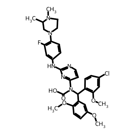 COc1ccc(OC)c(C(c2ccc(Cl)cc2OC)N(C(=O)O)c2ccnc(Nc3ccc(N4CCN(C)C(C)C4)c(F)c3)n2)c1